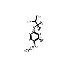 O=C=Nc1ccc(SC(F)(F)C(F)F)cc1F